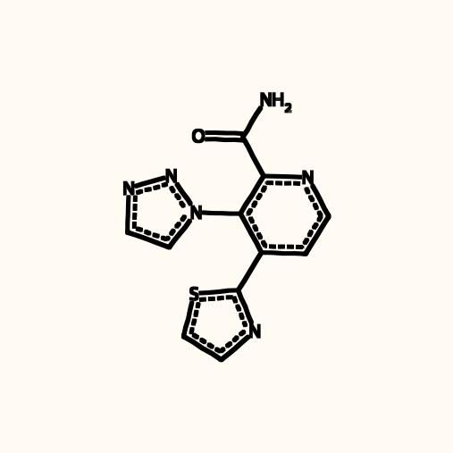 NC(=O)c1nccc(-c2nccs2)c1-n1ccnn1